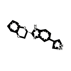 c1ccc2c(c1)OC[C@@H](c1nc3cc(-c4cn[nH]c4)ccc3[nH]1)O2